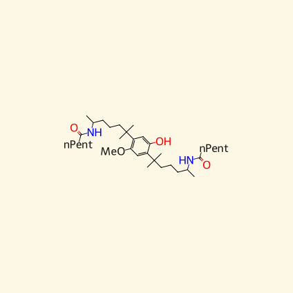 CCCCCC(=O)NC(C)CCCC(C)(C)c1cc(OC)c(C(C)(C)CCCC(C)NC(=O)CCCCC)cc1O